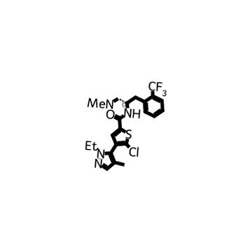 CCn1ncc(C)c1-c1cc(C(=O)N[C@H](CNC)Cc2ccccc2C(F)(F)F)sc1Cl